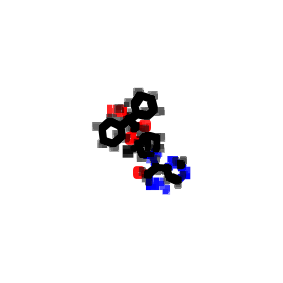 NC(=O)C(c1ccncn1)[N+]12CCC(CC1)[C@@H](OC(=O)C(O)(c1ccccc1)C1CCCCC1)C2